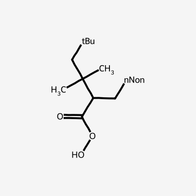 CCCCCCCCCCC(C(=O)OO)C(C)(C)CC(C)(C)C